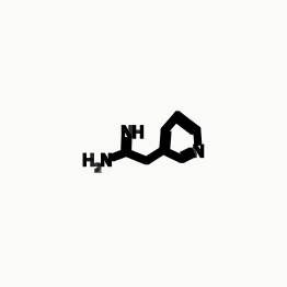 N=C(N)Cc1cccnc1